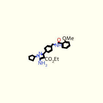 CCOC(=O)c1c(-c2ccc(CNC(=O)c3ccccc3OC)cc2)nn(C2CCCC2)c1N